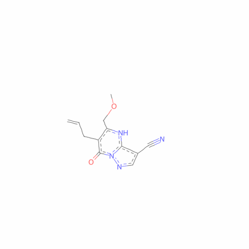 C=CCc1c(COC)[nH]c2c(C#N)cnn2c1=O